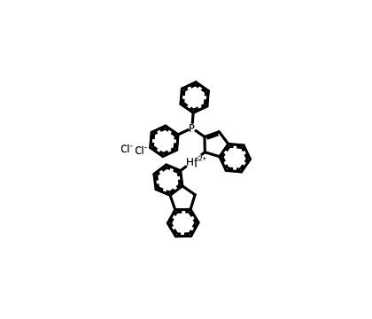 C1=C(P(c2ccccc2)c2ccccc2)[CH]([Hf+2][c]2cccc3c2Cc2ccccc2-3)c2ccccc21.[Cl-].[Cl-]